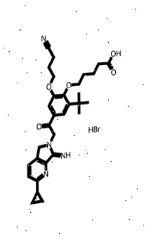 Br.CC(C)(C)c1cc(C(=O)CN2Cc3ccc(C4CC4)nc3C2=N)cc(OCCCC#N)c1OCCCCC(=O)O